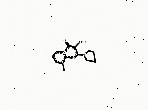 Cc1cccn2c(=O)c(C=O)c(N3CCCC3)nc12